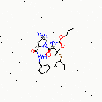 CCCOC(=O)N[C@@H](C(=O)N1C[C@H](N)C[C@H]1C(=O)NCC1CCCCC1)C(C)(C)SC(CC)CC